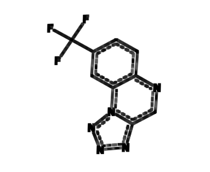 FC(F)(F)c1ccc2ncc3nnnn3c2c1